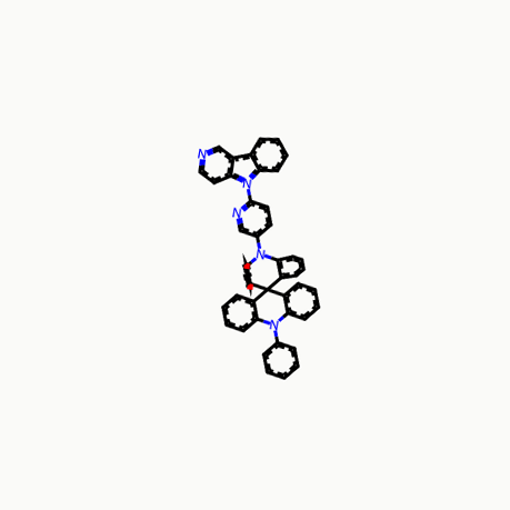 c1ccc(N2c3ccccc3C3(c4ccccc42)c2ccccc2N(c2ccc(-n4c5ccccc5c5cnccc54)nc2)c2ccccc23)cc1